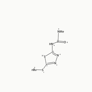 CCCCSc1nnc(NC(=O)NC)s1